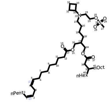 CCCCC/C=C\C/C=C\CCCCCCCC(=O)OCC(CCCCN(CCOS(C)(=O)=O)C1CCC1)COC(=O)CC(CCCCCC)CCCCCCCC